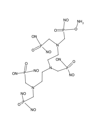 NOP(=O)(CN(CCN(CCN(CP(=O)(N=O)N=O)CP(=O)(N=O)N=O)CP(=O)(N=O)N=O)CP(=O)(N=O)N=O)N=O